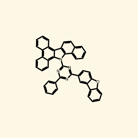 c1ccc(-c2nc(-c3ccc4oc5ccccc5c4c3)nc(-n3c4c5ccccc5ccc4c4c5ccccc5c5ccccc5c43)n2)cc1